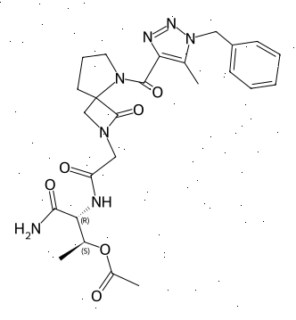 CC(=O)O[C@@H](C)[C@@H](NC(=O)CN1CC2(CCCN2C(=O)c2nnn(Cc3ccccc3)c2C)C1=O)C(N)=O